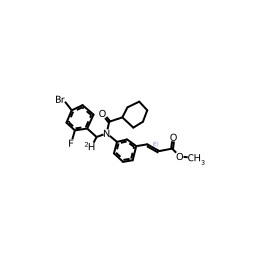 [2H]C(c1ccc(Br)cc1F)N(C(=O)C1CCCCC1)c1cccc(/C=C/C(=O)OC)c1